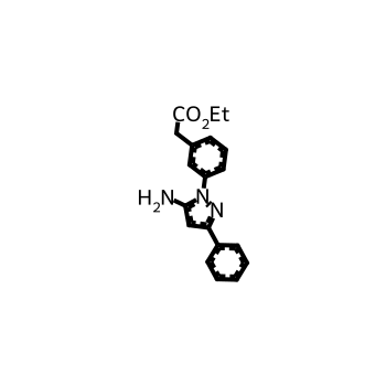 CCOC(=O)Cc1cccc(-n2nc(-c3ccccc3)cc2N)c1